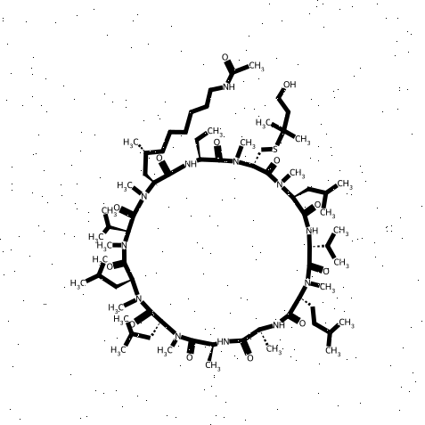 CC[C@@H]1NC(=O)[C@H](C[C@H](C)CCCCCCNC(C)=O)N(C)C(=O)[C@H](C(C)C)N(C)C(=O)[C@H](CC(C)C)N(C)C(=O)[C@@H](CC(C)C)N(C)C(=O)[C@H](C)NC(=O)[C@@H](C)NC(=O)[C@@H](CCC(C)C)N(C)C(=O)[C@@H](C(C)C)NC(=O)[C@H](CC(C)C)N(C)C(=O)[C@@H](CSC(C)(C)CCO)N(C)C1=O